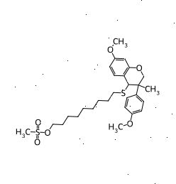 COc1ccc(C2(C)COc3cc(OC)ccc3C2SCCCCCCCCCOS(C)(=O)=O)cc1